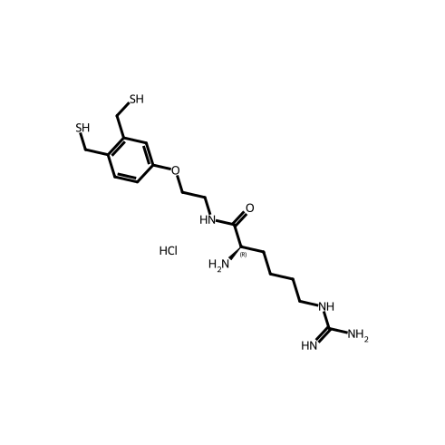 Cl.N=C(N)NCCCC[C@@H](N)C(=O)NCCOc1ccc(CS)c(CS)c1